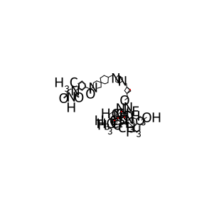 Cc1ccc(C(=O)N2CCC3(CCC(CN4CCN(CC56CC(COc7nc(N8CCC[C@@](C)(O)C8)c8cnc(-c9cc(O)cc%10ccc(F)c(C#C[Si](C(C)C)(C(C)C)C(C)C)c9%10)c(F)c8n7)(C5)C6)CC4)CC3)CC2)cc1N1CCC(=O)NC1=O